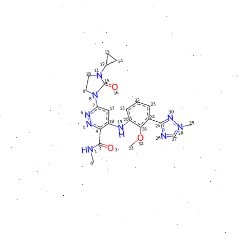 CNC(=O)c1nnc(N2CCN(C3CC3)C2=O)cc1Nc1cccc(-c2ncn(C)n2)c1OC